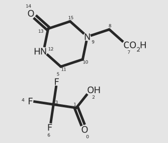 O=C(O)C(F)(F)F.O=C(O)CN1CCNC(=O)C1